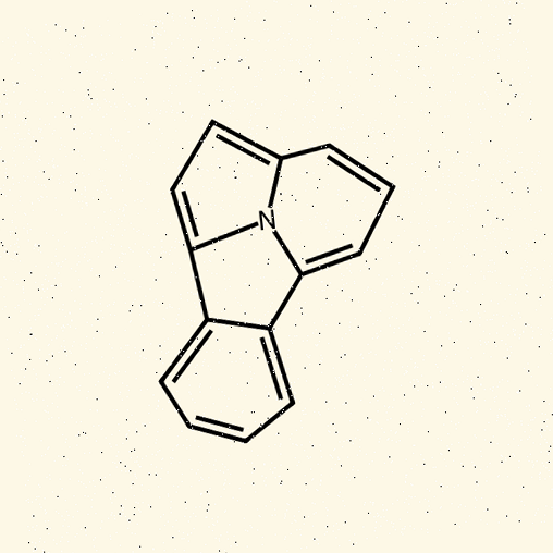 c1ccc2c(c1)c1cccc3ccc2n31